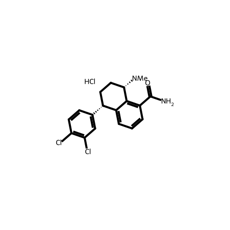 CN[C@H]1CC[C@@H](c2ccc(Cl)c(Cl)c2)c2cccc(C(N)=O)c21.Cl